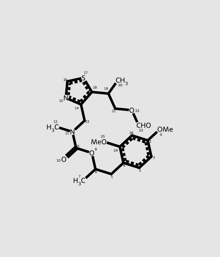 COc1ccc(CC(C)OC(=O)N(C)Cc2ncsc2C(C)COC=O)c(OC)c1